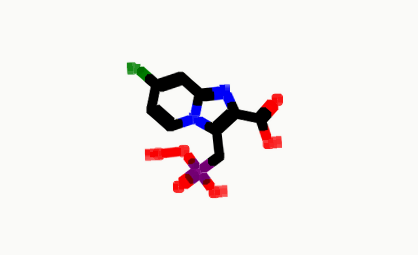 O=C(O)c1nc2cc(Br)ccn2c1CP(=O)(O)OO